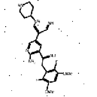 COc1cc(OC)c(F)c(CC(=N)c2cc(/C(C=N)=C/NC3CCNCC3)cnc2N)c1F